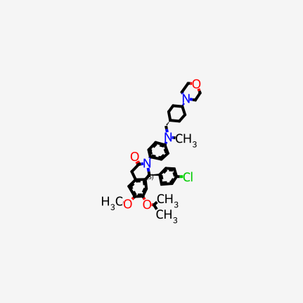 COc1cc2c(cc1OC(C)C)[C@H](c1ccc(Cl)cc1)N(c1ccc(N(C)C[C@H]3CC[C@H](N4CCOCC4)CC3)cc1)C(=O)C2